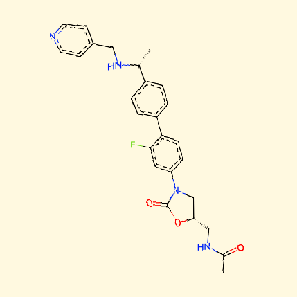 CC(=O)NC[C@H]1CN(c2ccc(-c3ccc([C@@H](C)NCc4ccncc4)cc3)c(F)c2)C(=O)O1